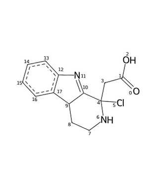 O=C(O)CC1(Cl)NCCC2C1=Nc1ccccc12